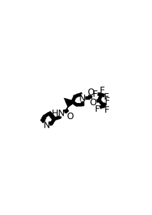 O=C(NCc1cccnc1)[C@H]1CC12CCN(C(=O)OC(C(F)(F)F)C(F)(F)F)CC2